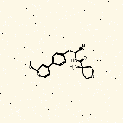 COc1cc(-c2ccc(C[C@@H](C#N)NC(=O)C3(N)CCOCC3)cc2)ccn1